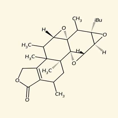 CCC(C)[C@]12O[C@H]1[C@@H]1O[C@@]13[C@@]1(C)CC(C)C4=C(COC4=O)C1(C)C(C)[C@@H]1O[C@@]13C2C